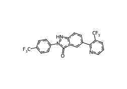 O=c1c2cc(-c3ncccc3C(F)(F)F)ccc2[nH]n1-c1ccc(C(F)(F)F)cc1